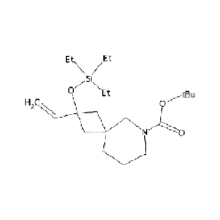 C=CC1(O[Si](CC)(CC)CC)CC2(CCCN(C(=O)OC(C)(C)C)C2)C1